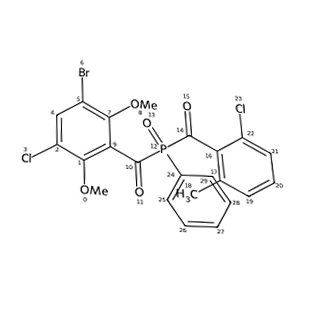 COc1c(Cl)cc(Br)c(OC)c1C(=O)P(=O)(C(=O)c1c(C)cccc1Cl)c1ccccc1